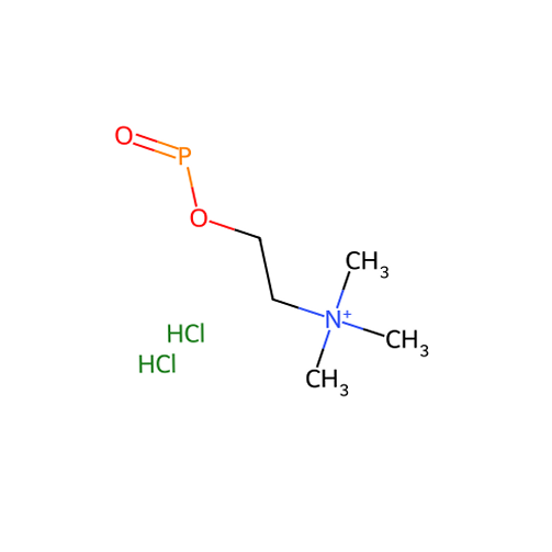 C[N+](C)(C)CCOP=O.Cl.Cl